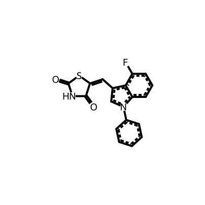 O=C1NC(=O)C(=Cc2cn(-c3ccccc3)c3cccc(F)c23)S1